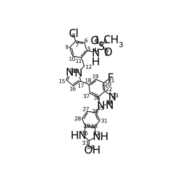 CS(=O)(=O)Nc1cc(Cl)ccc1Cn1nccc1-c1cc(F)c2nnn(-c3ccc4c(c3)NC(O)N4)c2c1